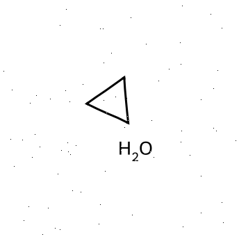 C1CC1.O